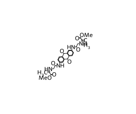 COC(=O)[C@H](C)NCC(=O)Nc1ccc2c(c1)C(=O)c1ccc(NC(=O)CN[C@@H](C)C(=O)OC)cc1C2=O